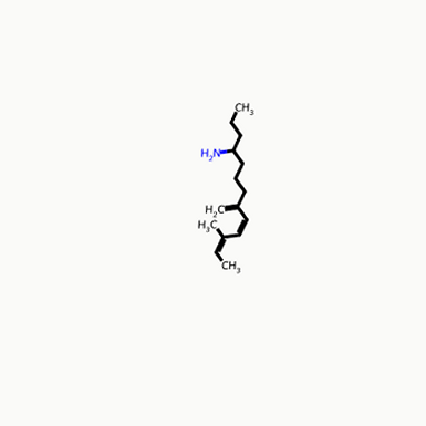 C=C(/C=C\C(C)=C/C)CCCC(N)CCC